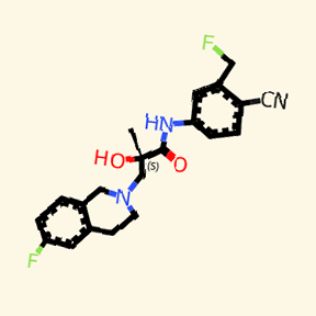 C[C@](O)(CN1CCc2cc(F)ccc2C1)C(=O)Nc1ccc(C#N)c(CF)c1